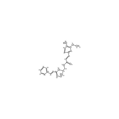 COc1cc(/C=C/C(=O)OCC(CO)OC(=O)/C=C/c2ccccc2)ccc1O